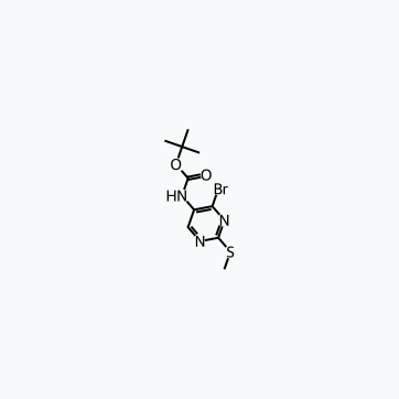 CSc1ncc(NC(=O)OC(C)(C)C)c(Br)n1